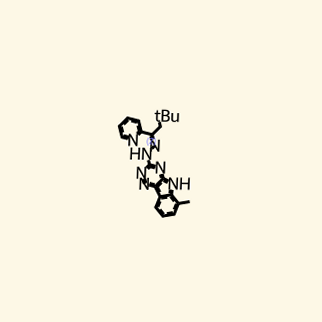 Cc1cccc2c1[nH]c1nc(N/N=C(/CC(C)(C)C)c3ccccn3)nnc12